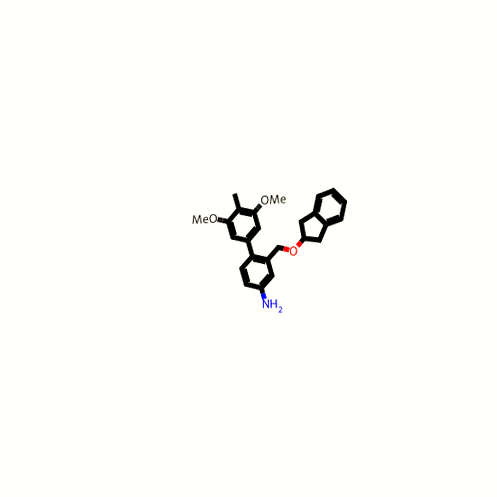 COc1cc(-c2ccc(N)cc2COC2Cc3ccccc3C2)cc(OC)c1C